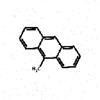 Cc1c2c[c]ccc2cc2ccccc12